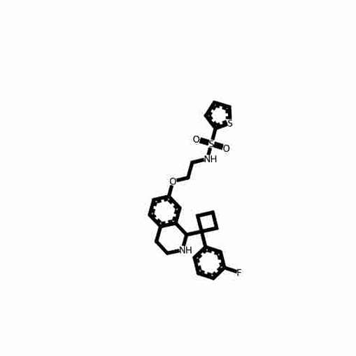 O=S(=O)(NCCOc1ccc2c(c1)C(C1(c3cccc(F)c3)CCC1)NCC2)c1cccs1